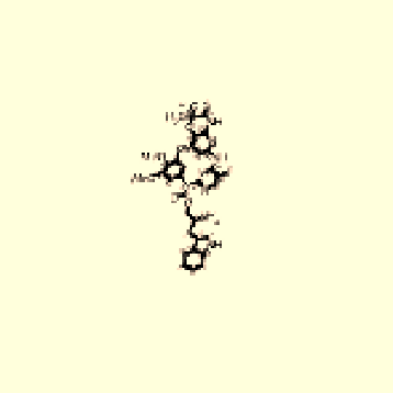 COc1cc(N(C(=O)OCC(N)CC2CNc3ccccc32)c2ncc(F)c(Nc3ccc4c(n3)NC(=O)C(C)(C)O4)n2)cc(OC)c1OC